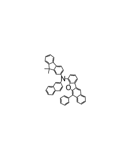 CC1(C)c2ccccc2-c2ccc(N(c3ccc4ccccc4c3)c3cccc4c3oc3c(-c5ccccc5)c5ccccc5cc34)cc21